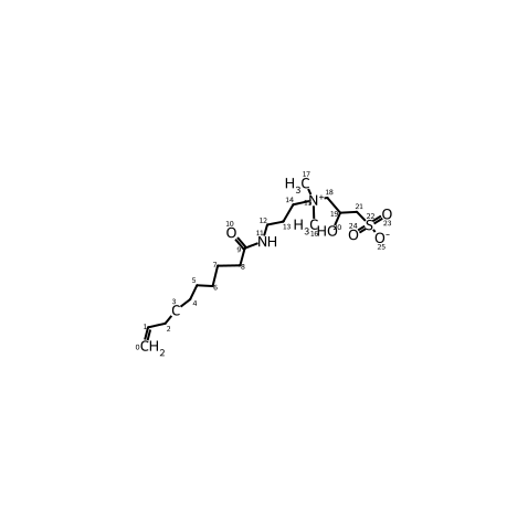 C=CCCCCCCCC(=O)NCCC[N+](C)(C)CC(O)CS(=O)(=O)[O-]